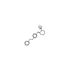 C(=C1CCCCC1N1CCC1)c1ccc(CCc2ccccc2)cc1